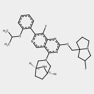 CC(C)Oc1ccccc1-c1ncc2c(N3C[C@H]4CC[C@@H](C3)N4)nc(OCC34CCCN3CC(F)C4)nc2c1F